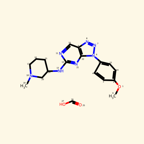 COc1ccc(-n2nnc3cnc(NC4CCCN(C)C4)nc32)cc1.O=CO